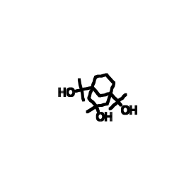 CC1(O)CC2(C(C)(C)O)CCCC(C(C)(C)O)(C1)C2